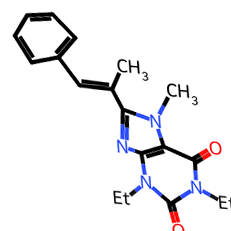 CCn1c(=O)c2c(nc(C(C)=Cc3ccccc3)n2C)n(CC)c1=O